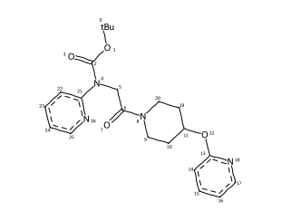 CC(C)(C)OC(=O)N(CC(=O)N1CCC(Oc2ccccn2)CC1)c1ccccn1